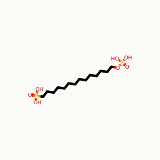 O=P(O)(O)CCCCCCCCCCCCCCOP(=O)(O)O